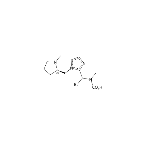 CCC(c1nccn1C[C@H]1CCCN1C)N(C)C(=O)O